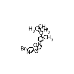 Cc1cc(N2CCC(Oc3ccc(Br)nc3)C2=O)ccc1OCC(C)(C)C